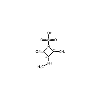 CN[C@@H]1C(=O)N(S(=O)(=O)O)[C@H]1C